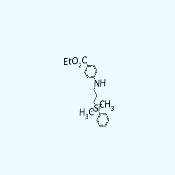 CCOC(=O)c1ccc(NCCC[Si](C)(C)c2ccccc2)cc1